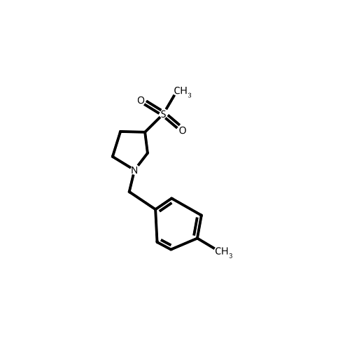 Cc1ccc(CN2CCC(S(C)(=O)=O)C2)cc1